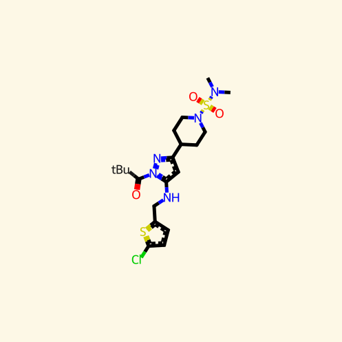 CN(C)S(=O)(=O)N1CCC(c2cc(NCc3ccc(Cl)s3)n(C(=O)C(C)(C)C)n2)CC1